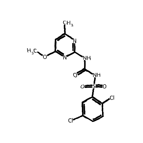 COc1cc(C)nc(NC(=O)NS(=O)(=O)c2cc(Cl)ccc2Cl)n1